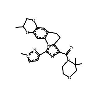 CC1COc2cc3c(cc2O1)-n1c(-c2ccn(C)n2)nc(C(=O)N2CCOCC2(C)C)c1CC3